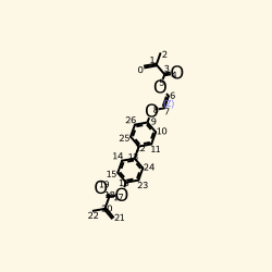 C=C(C)C(=O)O/C=C\Oc1ccc(-c2ccc(OC(=O)C(=C)C)cc2)cc1